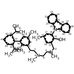 Cc1cc(CCN(C)CCN(C)Cc2cc(C)cc(-n3c4ccccc4c4ccccc43)c2O)c(O)c(-c2c(C(C)C)cccc2C(C)C)c1